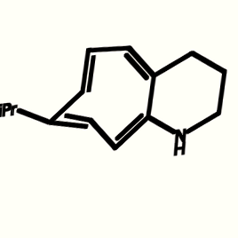 CC(C)C1=C\C=C2\NCCC\C2=C\C=C\1